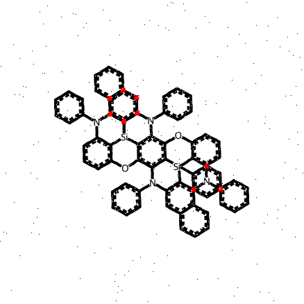 c1ccc(N2c3cc4ccccc4c4c3[Si]3(c5ccccc5)c5c(cccc5N4c4ccccc4)Oc4c5c6c(c2c43)Oc2cccc3c2[Si]6(c2ccccc2)c2c(cc4ccccc4c2N3c2ccccc2)N5c2ccccc2)cc1